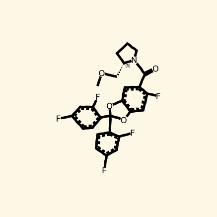 COC[C@@H]1CCCN1C(=O)c1cc2c(cc1F)OC(c1ccc(F)cc1F)(c1ccc(F)cc1F)O2